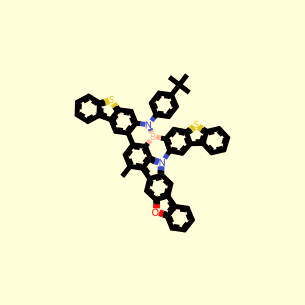 Cc1cc2c3c4c1c1cc5oc6ccccc6c5cc1n4-c1cc4c(cc1B3N(c1ccc(C(C)(C)C)cc1)c1cc3sc5ccccc5c3cc1-2)sc1ccccc14